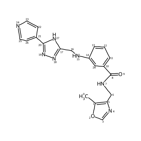 Cc1ocnc1CNC(=O)c1cccc(NCc2nnc(-c3ccncc3)[nH]2)c1